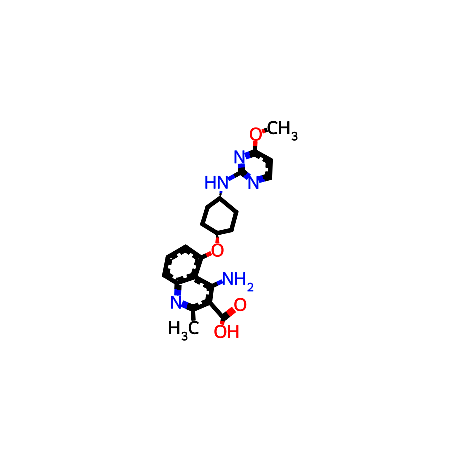 COc1ccnc(N[C@H]2CC[C@H](Oc3cccc4nc(C)c(C(=O)O)c(N)c34)CC2)n1